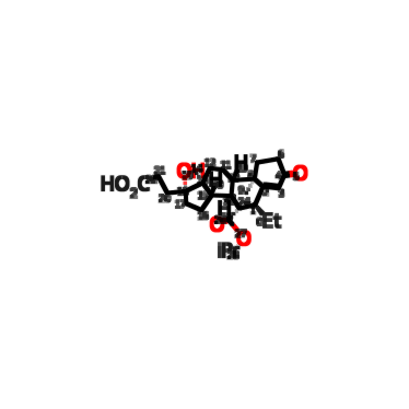 CC[C@@H]1C2=CC(=O)CC[C@]2(C)[C@H]2CC[C@@]3(C)[C@@H](CC[C@@]3(O)CCC(=O)O)[C@@H]2[C@H]1C(=O)OC(C)C